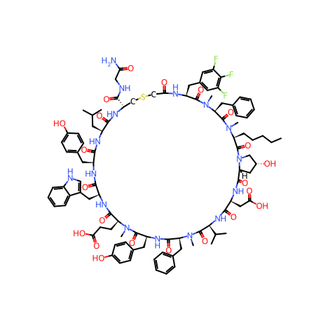 CCCCC[C@H]1C(=O)N2C[C@H](O)C[C@@H]2C(=O)N[C@@H](CC(=O)O)C(=O)N[C@@H](C(C)C)C(=O)N(C)[C@@H](Cc2ccccc2)C(=O)N[C@@H](Cc2ccc(O)cc2)C(=O)N(C)[C@@H](CCC(=O)O)C(=O)N[C@@H](Cc2c[nH]c3ccccc23)C(=O)N[C@@H](Cc2ccc(O)cc2)C(=O)N[C@@H](CC(C)C)C(=O)N[C@H](C(=O)NCC(N)=O)CSCC(=O)N[C@@H](Cc2cc(F)c(F)c(F)c2)C(=O)N(C)[C@@H](Cc2ccccc2)C(=O)N1C